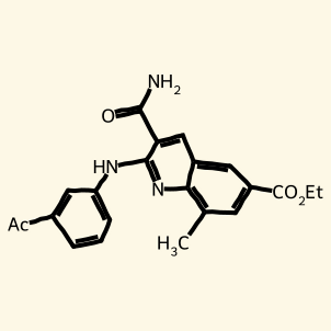 CCOC(=O)c1cc(C)c2nc(Nc3cccc(C(C)=O)c3)c(C(N)=O)cc2c1